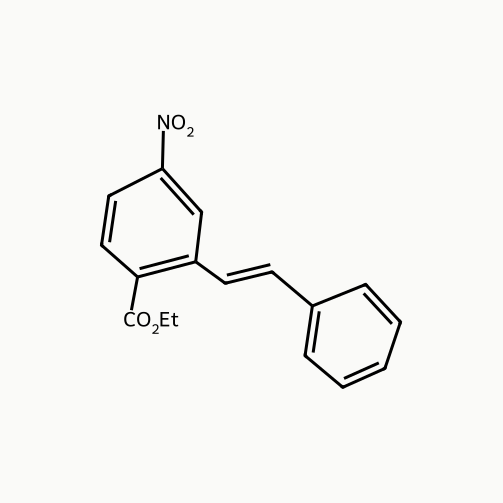 CCOC(=O)c1ccc([N+](=O)[O-])cc1C=Cc1ccccc1